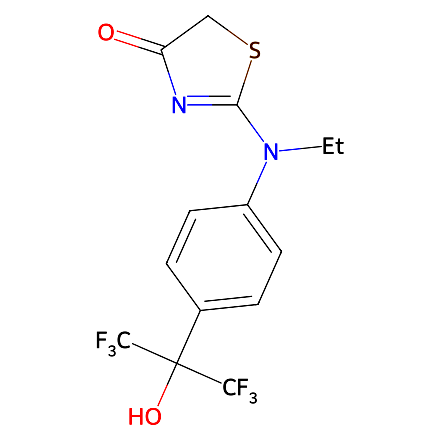 CCN(C1=NC(=O)CS1)c1ccc(C(O)(C(F)(F)F)C(F)(F)F)cc1